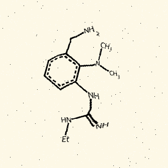 CCNC(=N)Nc1cccc(CN)c1N(C)C